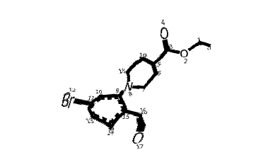 CCOC(=O)C1CCN(c2cc(Br)ccc2C=O)CC1